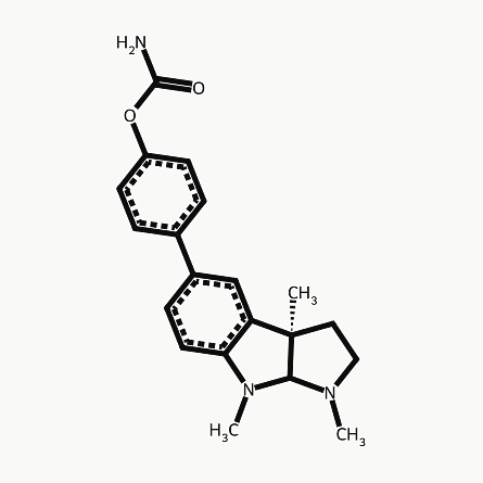 CN1CC[C@]2(C)c3cc(-c4ccc(OC(N)=O)cc4)ccc3N(C)C12